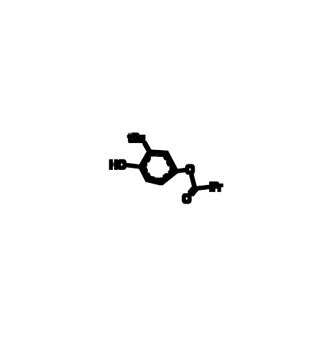 CC(C)C(=O)Oc1ccc(O)c(C(C)(C)C)c1